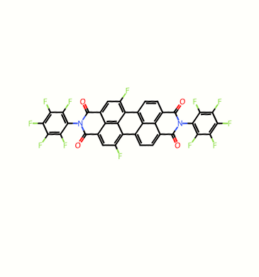 O=C1c2ccc3c4c(F)cc5c6c(cc(F)c(c7ccc(c2c37)C(=O)N1c1c(F)c(F)c(F)c(F)c1F)c64)C(=O)N(c1c(F)c(F)c(F)c(F)c1F)C5=O